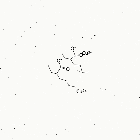 CCCCC(CC)C(=O)[O-].CCCCC(CC)C(=O)[O-].[Cu+2].[Cu+2]